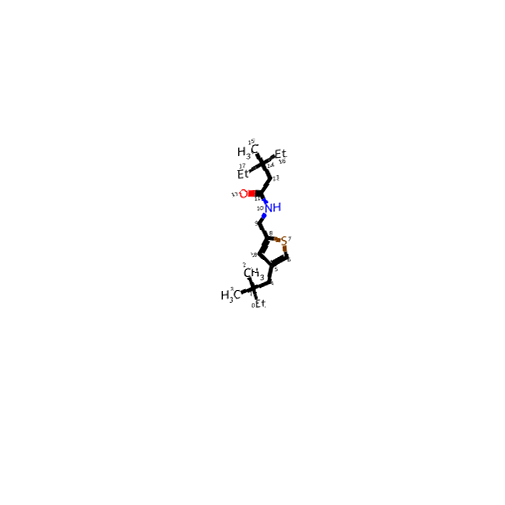 CCC(C)(C)Cc1csc(CNC(=O)CC(C)(CC)CC)c1